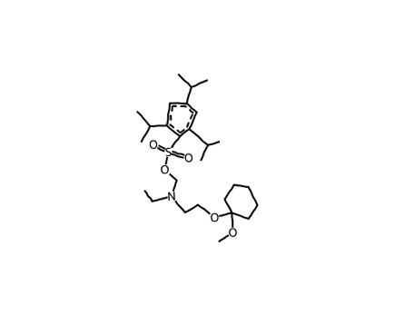 CCN(CCOC1(OC)CCCCC1)COS(=O)(=O)c1c(C(C)C)cc(C(C)C)cc1C(C)C